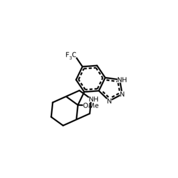 COC1(c2cc(C(F)(F)F)cc3[nH]nnc23)C2CCCC1CNC2